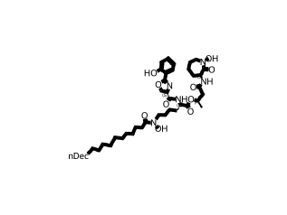 CCCCCCCCCCCCCCCCCCCCC(=O)N(O)CCCC[C@H](NC(=O)[C@@H]1COC(c2ccccc2O)=N1)C(=O)O[C@H](C)CC(=O)N[C@H]1CCCCN(O)C1=O